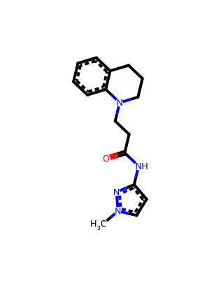 Cn1ccc(NC(=O)CCN2CCCc3ccccc32)n1